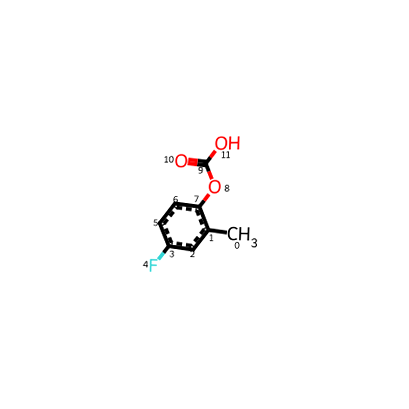 Cc1cc(F)ccc1OC(=O)O